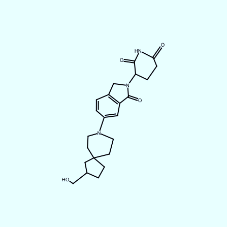 O=C1CCC(N2Cc3ccc(N4CCC5(CCC(CO)C5)CC4)cc3C2=O)C(=O)N1